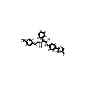 Cc1cnc(-c2ccc(NC(=O)[C@@H](NCCc3ccc(Cl)cc3)c3ccccc3)cc2)[nH]1